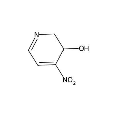 O=[N+]([O-])C1=CC=NC[C]1O